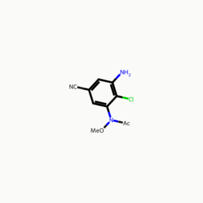 CON(C(C)=O)c1cc(C#N)cc(N)c1Cl